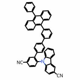 N#Cc1ccc(-n2c3ccccc3c3cc(C#N)ccc32)c(-c2ccc(-c3cccc(-c4c5ccccc5c(-c5ccccc5)c5ccccc45)c3)cc2)c1